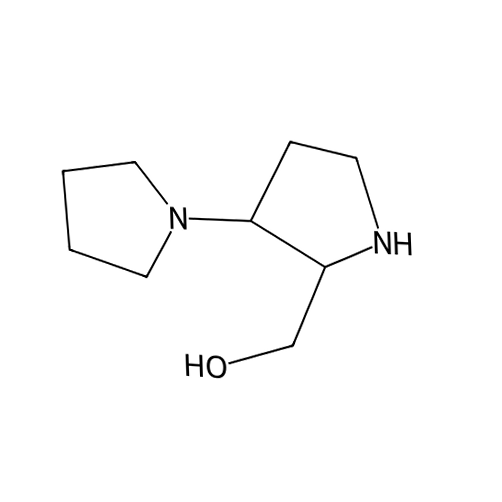 OCC1NCCC1N1CCCC1